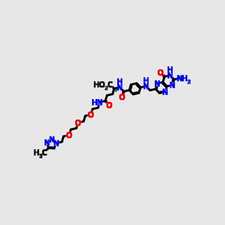 Cc1cn(CCOCCOCCOCCNC(=O)CC[C@H](NC(=O)c2ccc(NCc3cnc4nc(N)[nH]c(=O)c4n3)cc2)C(=O)O)nn1